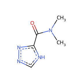 CN(C)C(=O)c1nnc[nH]1